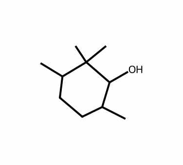 CC1CCC(C)C(C)(C)C1O